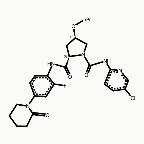 CCCO[C@@H]1C[C@H](C(=O)Nc2ccc(N3CCCCC3=O)cc2F)N(C(=O)Nc2ccc(Cl)cn2)C1